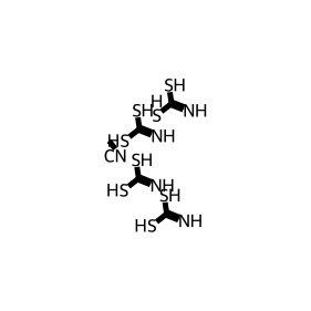 CC#N.N=C(S)S.N=C(S)S.N=C(S)S.N=C(S)S